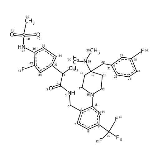 CC(C(=O)NCc1ccc(C(F)(F)F)nc1N1CCC(Cc2cccc(F)c2)(N(C)C)CC1)c1ccc(NS(C)(=O)=O)c(F)c1